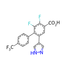 O=C(O)c1cc(-c2cn[nH]c2)c(-c2ccc(C(F)(F)F)cc2)c(F)c1F